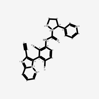 C#Cc1nc2cccnn2c1-c1c(F)ccc(NC(=O)N2OCCC2c2cccnc2)c1F